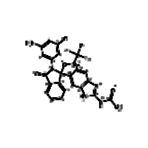 Nc1cc(Cl)cc(N2C(=O)c3ccccc3C2(OC(=O)C(F)(F)F)c2ccc3nc(NC(=O)O)[nH]c3c2)c1